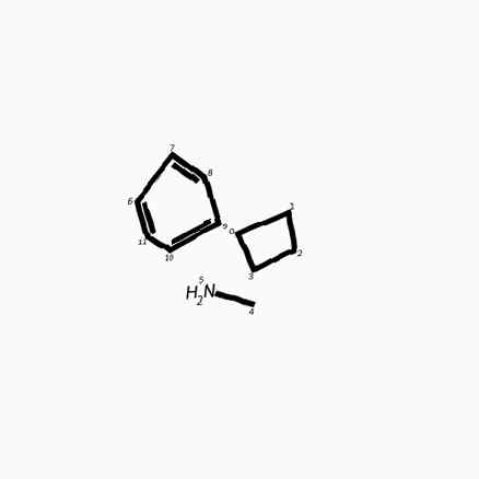 C1CCC1.CN.c1ccccc1